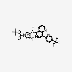 CC(C)(C)OC(=O)N1C[C@H](F)[C@H](Nc2ncc(-c3ccc(C(F)(F)F)cn3)c3ncccc23)C1